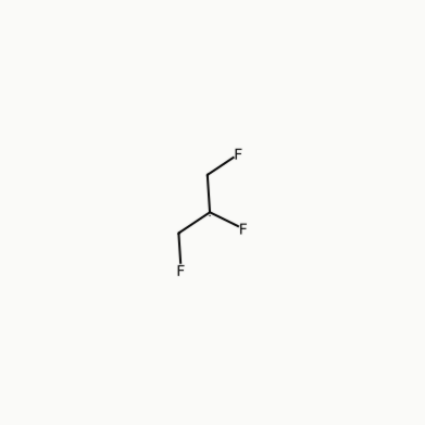 FC[C](F)CF